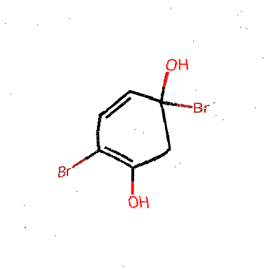 OC1=C(Br)C=CC(O)(Br)C1